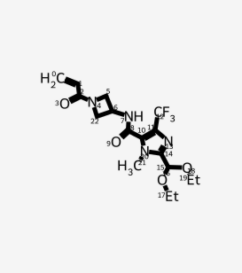 C=CC(=O)N1CC(NC(=O)c2c(C(F)(F)F)nc(C(OCC)OCC)n2C)C1